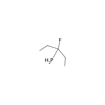 CCC(F)(P)CC